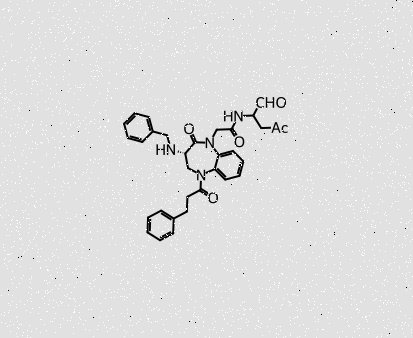 CC(=O)CC(C=O)NC(=O)CN1C(=O)[C@@H](NCc2ccccc2)CN(C(=O)CCc2ccccc2)c2ccccc21